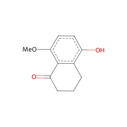 COc1ccc(O)c2c1C(=O)CCC2